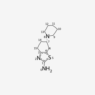 Nc1nc2c(s1)C[C@@H](N1CCCCC1)CC2